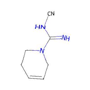 N#CNC(=N)N1CC=CCC1